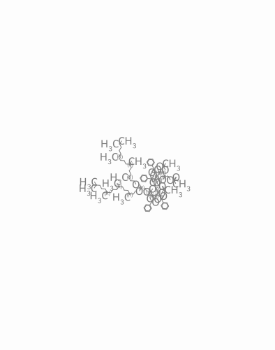 CC(=O)OC[C@H]1O[C@@H](OC[C@H]2O[C@@H](OC[C@@H](COCC[C@H](C)CCC[C@H](C)CCC[C@H](C)CCCC(C)C)OCC[C@H](C)CCC[C@H](C)CCC[C@H](C)CCCC(C)C)[C@H](OC(=O)c3ccccc3)[C@@H](OC(=O)c3ccccc3)[C@@H]2OC(C)=O)[C@H](OC(=O)c2ccccc2)[C@@H](OC(=O)c2ccccc2)[C@@H]1OC(C)=O